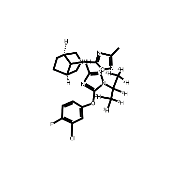 [2H]C([2H])([2H])C([2H])(n1nc(NC2[C@@H]3CC[C@H]2CN(c2nc(C)no2)C3)nc1Oc1ccc(F)c(Cl)c1)C([2H])([2H])[2H]